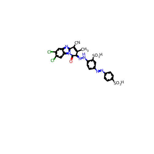 CC1=C(C#N)c2nc3cc(Cl)c(Cl)cc3n2C(=O)/C1=N/Nc1ccc(/N=N/c2ccc(S(=O)(=O)O)cc2)cc1S(=O)(=O)O